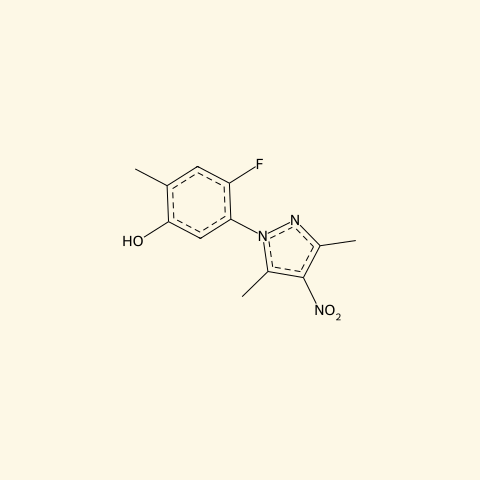 Cc1cc(F)c(-n2nc(C)c([N+](=O)[O-])c2C)cc1O